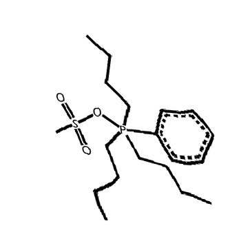 CCCCP(CCCC)(CCCC)(OS(C)(=O)=O)c1ccccc1